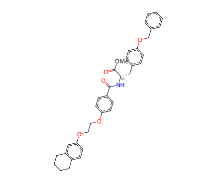 COC(=O)[C@H](Cc1ccc(OCc2ccccc2)cc1)NC(=O)c1ccc(OCCOc2ccc3c(c2)CCCC3)cc1